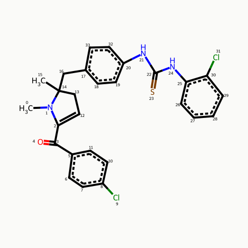 CN1C(C(=O)c2ccc(Cl)cc2)=CCC1(C)Cc1ccc(NC(=S)Nc2ccccc2Cl)cc1